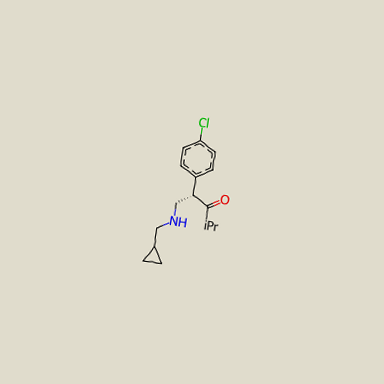 CC(C)C(=O)[C@H](CNCC1CC1)c1ccc(Cl)cc1